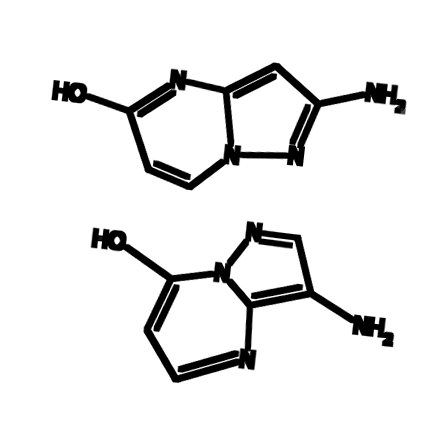 Nc1cc2nc(O)ccn2n1.Nc1cnn2c(O)ccnc12